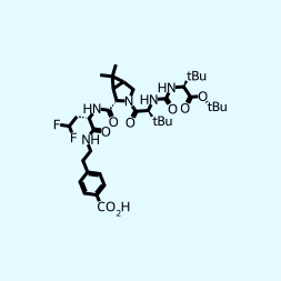 CC(C)(C)OC(=O)[C@@H](NC(=O)N[C@H](C(=O)N1CC2C([C@H]1C(=O)N[C@@H](CC(F)F)C(=O)NCCc1ccc(C(=O)O)cc1)C2(C)C)C(C)(C)C)C(C)(C)C